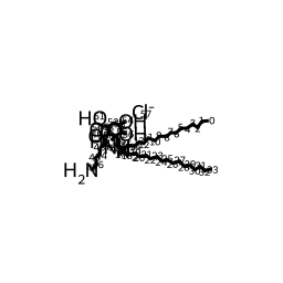 CCCCCCCCCCCCCCCC[N+](C)(CCCCCCCCCCCCCCCC)CCC1(O)C(C(=O)[C@@H](N)CCCCN)=C(C(=O)O)CC(O)C1O.[Cl-]